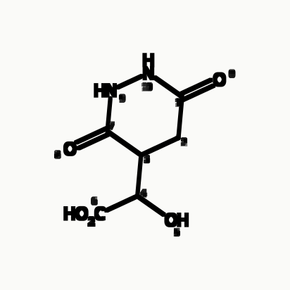 O=C1CC(C(O)C(=O)O)C(=O)NN1